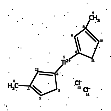 CC1=CC[C]([Ti+2][C]2=CC(C)=CC2)=C1.[Cl-].[Cl-]